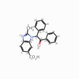 Cc1nc2ccc(C(=O)O)cc2n1C(C(=O)c1ccccc1)c1ccccc1